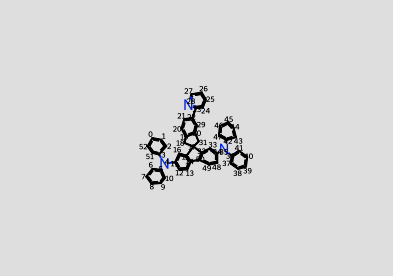 c1ccc(N(c2ccccc2)c2ccc3c(c2)C2(Cc4ccc(-c5ccccn5)cc4C2)c2cc(N(c4ccccc4)c4ccccc4)ccc2-3)cc1